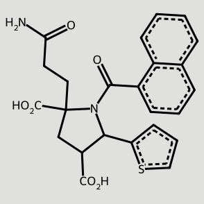 NC(=O)CCC1(C(=O)O)CC(C(=O)O)C(c2cccs2)N1C(=O)c1cccc2ccccc12